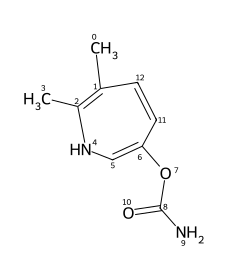 CC1=C(C)NC=C(OC(N)=O)C=C1